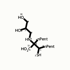 CCCCCC(S)C(CCCCC)(NCC(O)CO)C(=O)O